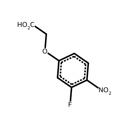 O=C(O)COc1ccc([N+](=O)[O-])c(F)c1